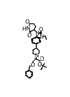 CCn1c(=O)n(C2CCC(=O)NC2=O)c2ccc(C3CCN([C@H](COCc4ccccc4)C(=O)OC(C)(C)C)CC3)cc21